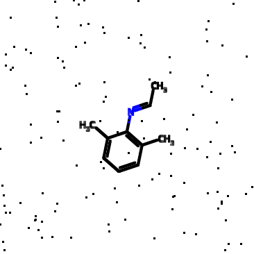 C/C=N/c1c(C)cccc1C